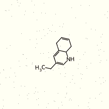 CCC1=CNC2CC=CCC2=C1